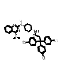 CN(C)c1nc(N[C@H]2CC[C@@H](NC(=O)CC(c3ccc(Cl)cc3)(c3ccc(Cl)cc3)c3ccc(Cl)cc3)CC2)nc2ccccc12